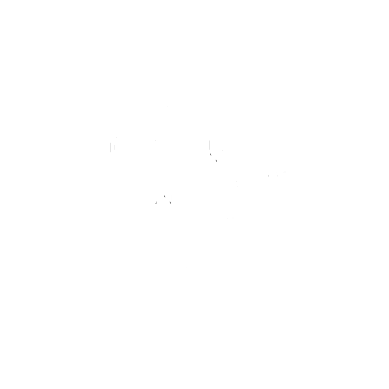 C=C(O)c1nc2c(c(=O)[nH]1)CCC2